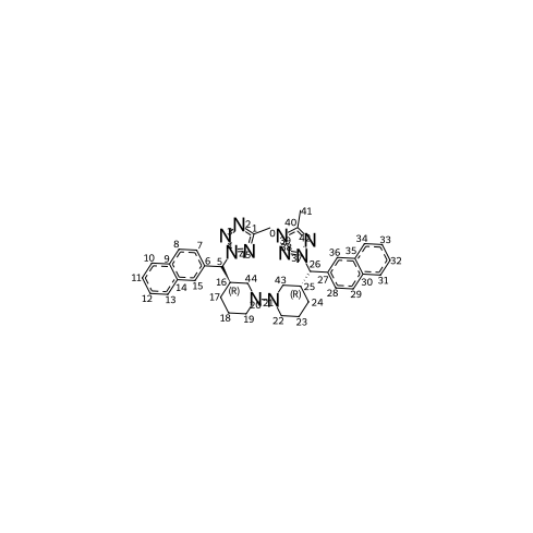 Cc1nnn(C(c2ccc3ccccc3c2)[C@@H]2CCCN(N3CCC[C@@H](C(c4ccc5ccccc5c4)n4nnc(C)n4)C3)C2)n1